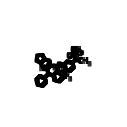 CN(c1ccc(OC(F)(F)F)c(CNC2C3CCN(C4CCCC34)C2C(c2ccccc2)c2ccccc2)c1)S(C)(=O)=O